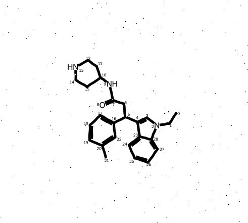 CCn1cc(C(CC(=O)NC2CCNCC2)c2cccc(C)c2)c2ccccc21